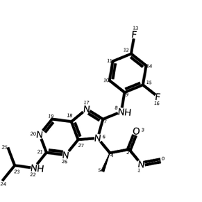 C=NC(=O)[C@@H](C)n1c(Nc2ccc(F)cc2F)nc2cnc(NC(C)C)nc21